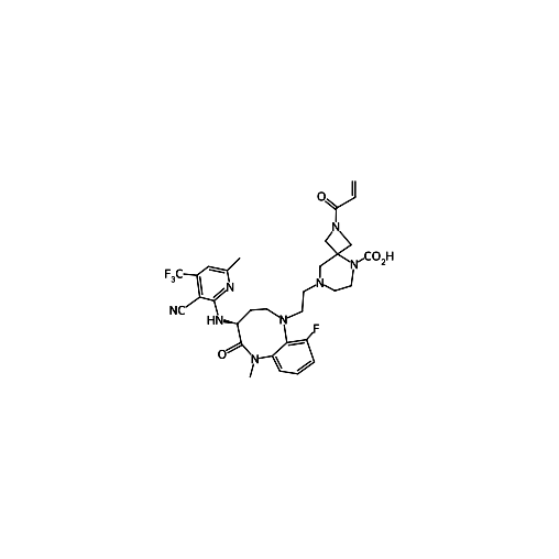 C=CC(=O)N1CC2(CN(CCN3CC[C@H](Nc4nc(C)cc(C(F)(F)F)c4C#N)C(=O)N(C)c4cccc(F)c43)CCN2C(=O)O)C1